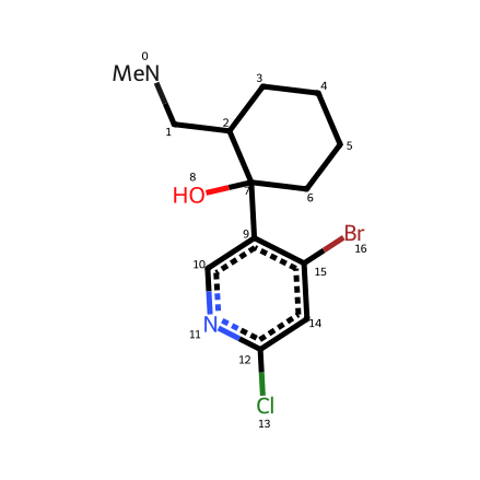 CNCC1CCCCC1(O)c1cnc(Cl)cc1Br